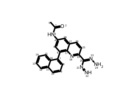 CC(=O)Nc1cc(-c2cccc3ccccc23)c2nc(/C(N=N)=N/N)ccc2c1